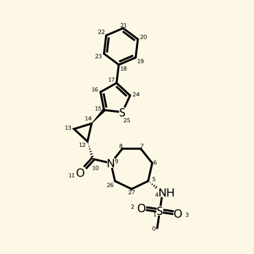 CS(=O)(=O)N[C@H]1CCCN(C(=O)[C@@H]2C[C@H]2c2cc(-c3ccccc3)cs2)CC1